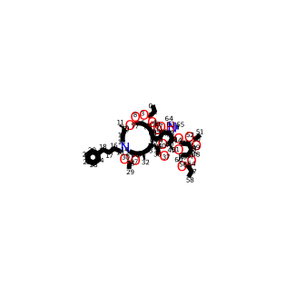 CCC(=O)O[C@@H]1CC(=O)O[C@H](C)CCN(CCCCc2ccccc2)C[C@H](OC(C)=O)[C@H](C)C[C@H](CC=O)[C@H]([C@@H]2O[C@H](C)[C@@H](O[C@@H]3C[C@@](C)(OC(C)=O)[C@@H](OC(=O)CC)[C@H](C)O3)[C@H](N(C)C)[C@H]2O)[C@@H]1OC